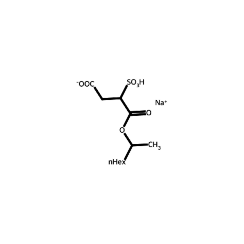 CCCCCCC(C)OC(=O)C(CC(=O)[O-])S(=O)(=O)O.[Na+]